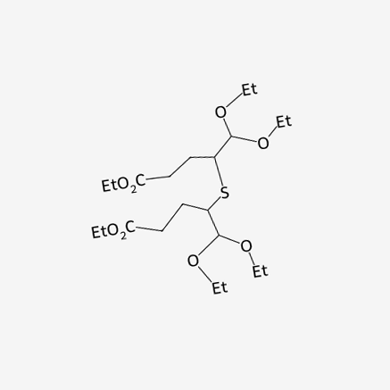 CCOC(=O)CCC(SC(CCC(=O)OCC)C(OCC)OCC)C(OCC)OCC